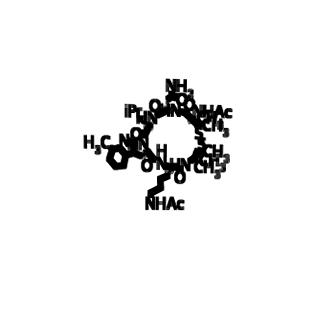 CC(=O)NCCCC[C@@H]1NC(=O)[C@H](CC2C=NC3C(C)CCCC23)NC(=O)[C@H](CC(C)C)NC(=O)[C@H](CC(N)=O)NC(=O)[C@@H](NC(C)=O)C(C)(C)SSC(C)(C)[C@@H](C)NC1=O